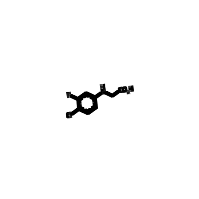 O=C(O)CNc1ccc(Cl)c(F)c1